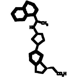 CC(NC1CCC(c2ccc3c(c2)[C@H](CC(=O)O)CC3)C1)c1cccc2ccccc12